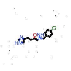 Clc1ccc(CN2C=C(CCc3c[nH]cn3)ON2)cc1